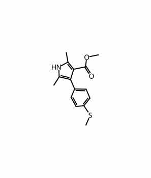 COC(=O)c1c(C)[nH]c(C)c1-c1ccc(SC)cc1